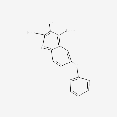 CNc1c(C#N)c(C(F)(F)F)nc2ccc(Oc3ccccc3)cc12